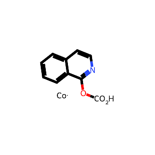 O=C(O)Oc1nccc2ccccc12.[Co]